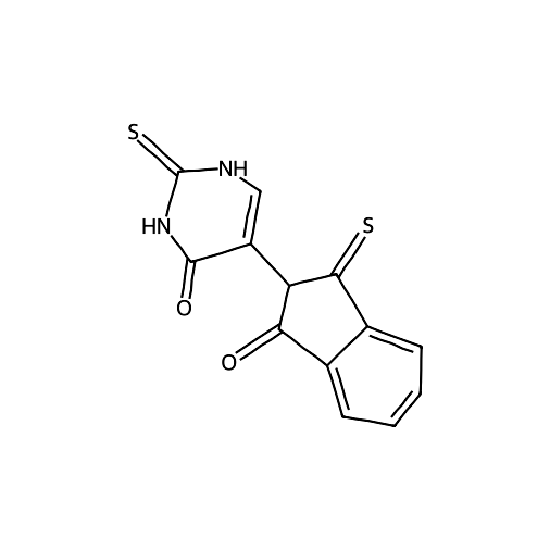 O=C1c2ccccc2C(=S)C1c1c[nH]c(=S)[nH]c1=O